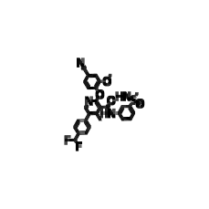 COc1cc(C#N)ccc1Oc1ncc(-c2ccc(C(F)F)cc2)c(C)c1C(=O)Nc1cccc([S@](C)(=N)=O)c1